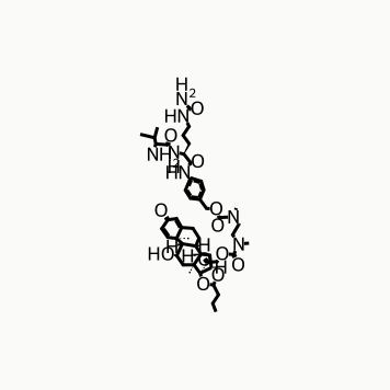 CCCC1O[C@@H]2C[C@H]3[C@@H]4CCC5=CC(=O)C=C[C@]5(C)[C@H]4[C@@H](O)C[C@]3(C)[C@]2(C(=O)COC(=O)N(C)CCN(C)C(=O)OCc2ccc(NC(=O)[C@H](CCCNC(N)=O)NC(=O)C(N)C(C)C)cc2)O1